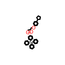 c1ccc([Si](c2ccccc2)(c2ccccc2)c2ccc(B3OCC(COc4ccc(C5CCCC5)cc4)O3)cc2)cc1